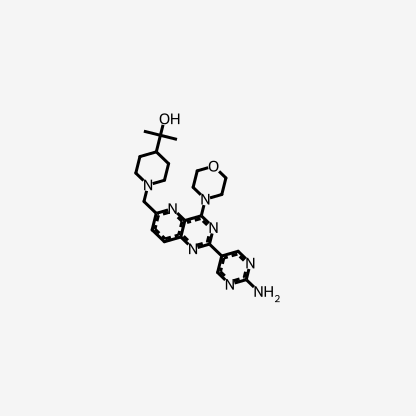 CC(C)(O)C1CCN(Cc2ccc3nc(-c4cnc(N)nc4)nc(N4CCOCC4)c3n2)CC1